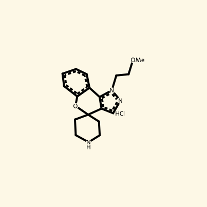 COCCn1ncc2c1-c1ccccc1OC21CCNCC1.Cl